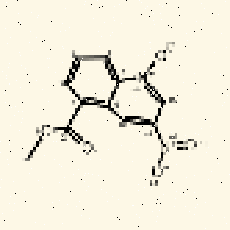 COC(=O)c1cccc2c1cc([N+](=O)[O-])c[n+]2[O-]